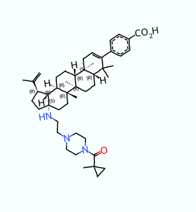 C=C(C)[C@@H]1CC[C@]2(NCCN3CCN(C(=O)C4(C)CC4)CC3)CC[C@]3(C)[C@H](CC[C@@H]4[C@@]5(C)CC=C(c6ccc(C(=O)O)cc6)C(C)(C)[C@@H]5CC[C@]43C)[C@@H]12